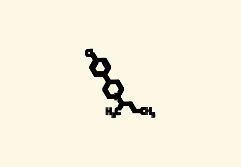 CCCC(C)N1CCC(c2ccc(Cl)cc2)CC1